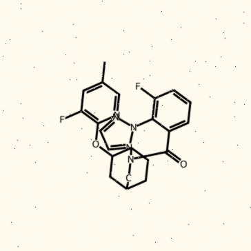 Cc1cnc(OC2CC3CCC2N(C(=O)c2cccc(F)c2-n2nccn2)C3)c(F)c1